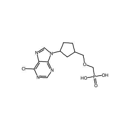 O=P(O)(O)COCC1CCC(n2cnc3c(Cl)ncnc32)C1